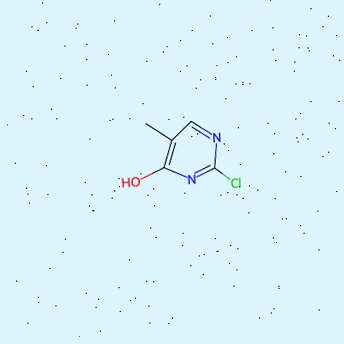 Cc1cnc(Cl)nc1O